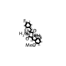 CCC1(Cc2ccc(F)cc2)C(=O)N(C)C(=Cc2c(C#N)cccc2OC)C(=O)N1C